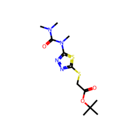 CN(C)C(=O)N(C)c1nnc(SCC(=O)OC(C)(C)C)s1